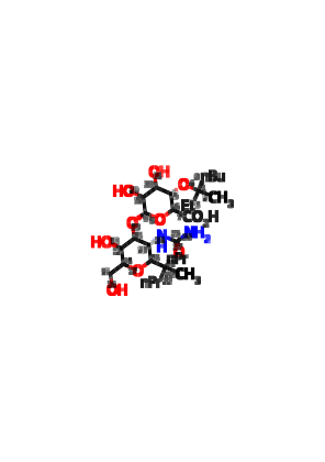 CCCC[C@@](C)(CC)O[C@@H]1C(C(=O)O)O[C@@H](OC2[C@H](O)C(CO)OC(C(C)(CCC)CCC)[C@H]2NC(N)=O)C(O)C1O